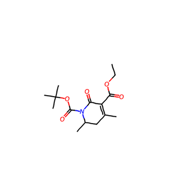 CCOC(=O)C1=C(C)CC(C)N(C(=O)OC(C)(C)C)C1=O